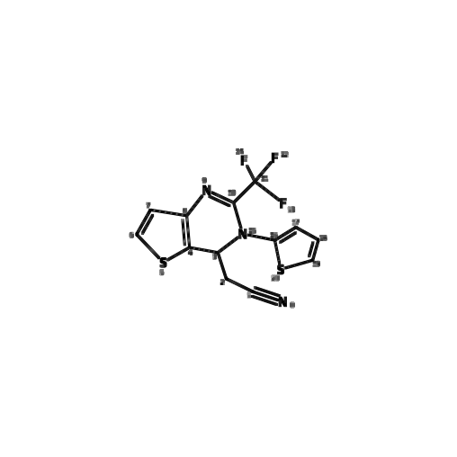 N#CCC1c2sccc2N=C(C(F)(F)F)N1c1cccs1